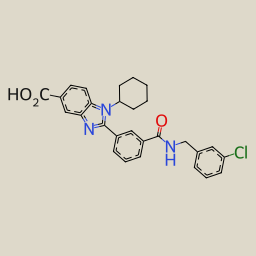 O=C(O)c1ccc2c(c1)nc(-c1cccc(C(=O)NCc3cccc(Cl)c3)c1)n2C1CCCCC1